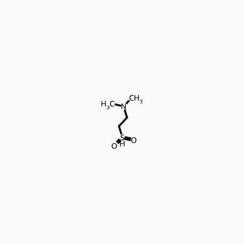 CN(C)CC[SH](=O)=O